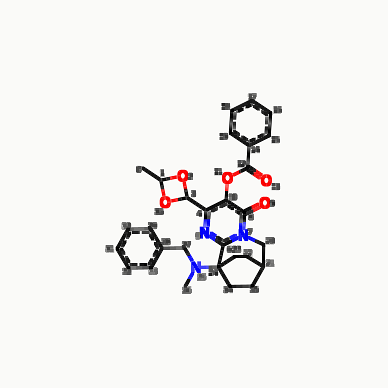 CC1OC(c2nc3n(c(=O)c2OC(=O)c2ccccc2)CC2CCC3(N(C)Cc3ccccc3)CC2)O1